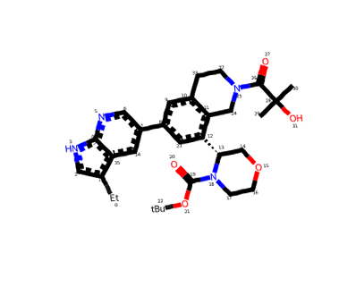 CCc1c[nH]c2ncc(-c3cc4c(c([C@@H]5COCCN5C(=O)OC(C)(C)C)c3)CN(C(=O)C(C)(C)O)CC4)cc12